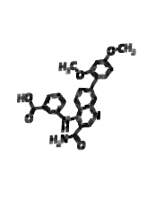 COc1ccc(-c2ccc3c(Nc4cccc(C(=O)O)c4)c(C(N)=O)cnc3c2)c(OC)c1